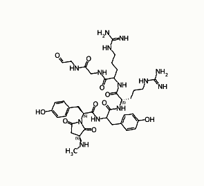 CN[C@H]1CC(=O)N([C@@H](Cc2ccc(O)cc2)C(=O)NC(Cc2ccc(O)cc2)C(=O)N[C@@H](CCCNC(=N)N)C(=O)NC(CCCNC(=N)N)C(=O)NCC(=O)NCC=O)C1=O